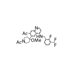 COC1(c2cc3c(NCc4cccc(C(F)F)c4F)ccnc3cc2C(C)=O)CCN(C(C)=O)CC1